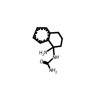 NC(=O)NC1(N)CCCc2ccccc21